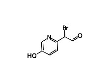 O=CC(Br)c1ccc(O)cn1